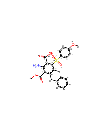 COC(=O)c1c(N)c(C(=O)O)c(S(=O)(=O)c2ccc(OC)cc2)c(C)c1Cc1ccccc1